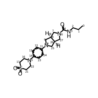 CCCNC(=O)N1C[C@@H]2CN(c3ccc(N4CCS(=O)(=O)CC4)cc3)C[C@@H]2C1